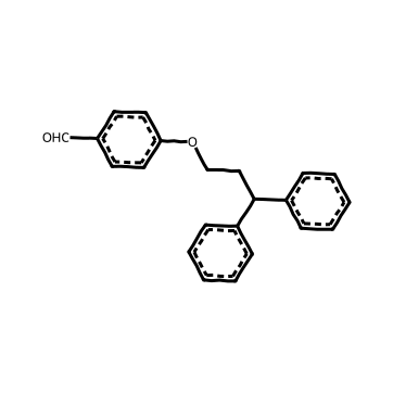 O=Cc1ccc(OCCC(c2ccccc2)c2ccccc2)cc1